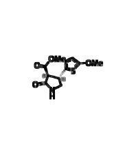 COC(=O)[C@@H]1C(=O)NC[C@H]1c1ccc(OC)s1